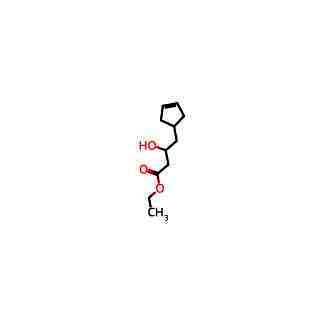 CCOC(=O)CC(O)CC1CC=CC1